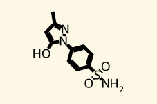 Cc1cc(O)n(-c2ccc(S(N)(=O)=O)cc2)n1